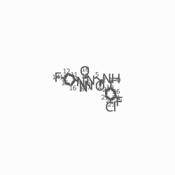 C[C@H](NC(=O)Cn1nnn(-c2ccc(F)cc2)c1=O)c1ccc(Cl)c(F)c1